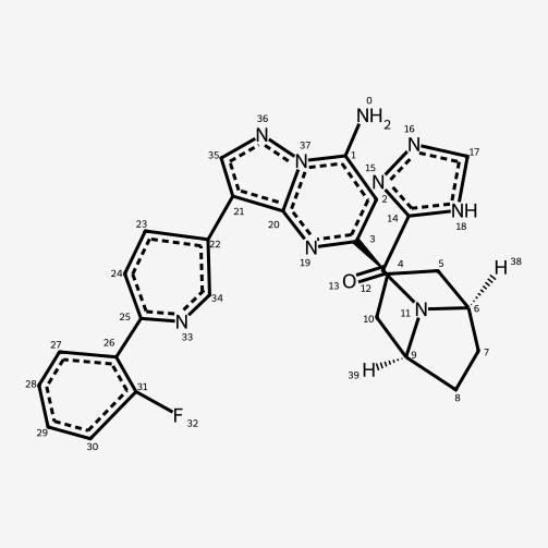 Nc1cc([C@H]2C[C@H]3CC[C@@H](C2)N3C(=O)c2nnc[nH]2)nc2c(-c3ccc(-c4ccccc4F)nc3)cnn12